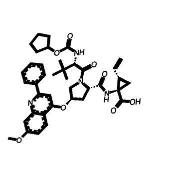 C=C[C@@H]1C[C@]1(NC(=O)[C@@H]1C[C@@H](Oc2cc(-c3ccccc3)nc3cc(OC)ccc23)CN1C(=O)[C@@H](NC(=O)OC1CCCC1)C(C)(C)C)C(=O)O